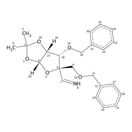 CC1(C)O[C@H]2O[C@](C=N)(COCc3ccccc3)[C@@H](OCc3ccccc3)[C@H]2O1